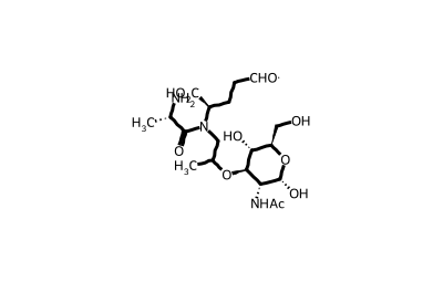 CC(=O)N[C@@H]1[C@@H](OC(C)CN(C(=O)[C@H](C)N)[C@H](CC[C]=O)C(=O)O)[C@H](O)[C@@H](CO)O[C@@H]1O